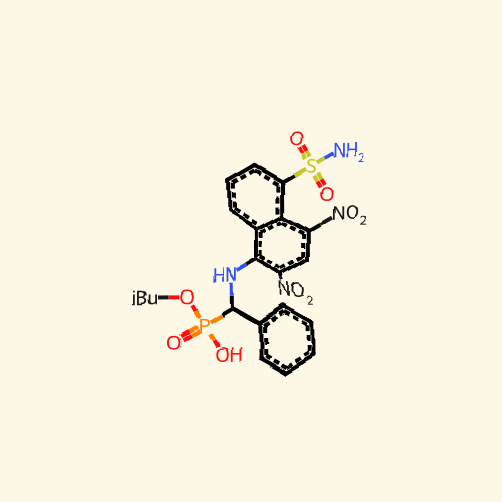 CCC(C)OP(=O)(O)C(Nc1c([N+](=O)[O-])cc([N+](=O)[O-])c2c(S(N)(=O)=O)cccc12)c1ccccc1